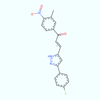 Cc1cc(C(=O)/C=C/c2cc(-c3ccc(F)cc3)n[nH]2)ccc1[N+](=O)[O-]